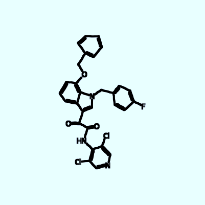 O=C(Nc1c(Cl)cncc1Cl)C(=O)c1cn(Cc2ccc(F)cc2)c2c(OCc3ccccc3)cccc12